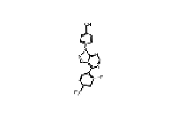 Oc1ccc(-n2nnc3c(-c4ccc(C(F)(F)F)cc4F)ncnc32)cc1